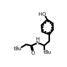 CC(C)(C)CC(=O)NC(Cc1ccc(O)cc1)C(C)(C)C